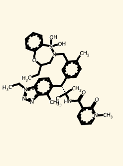 CCC1CN(Cc2cc([C@@H](c3ccc4c(nnn4CC)c3C)C(C)(C)NC(=O)c3cccn(C)c3=O)ccc2C)S(O)(O)c2ccccc2O1